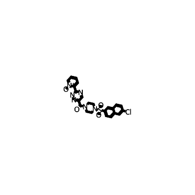 O=C(c1cnc(-c2cccc[n+]2[O-])nn1)N1CCN(S(=O)(=O)c2ccc3cc(Cl)ccc3c2)CC1